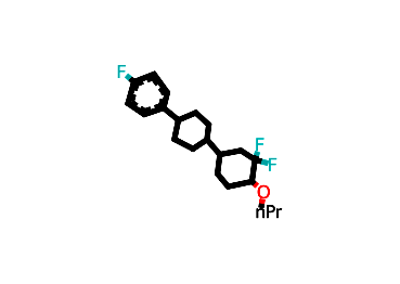 CCCOC1CCC(C2CCC(c3ccc(F)cc3)CC2)CC1(F)F